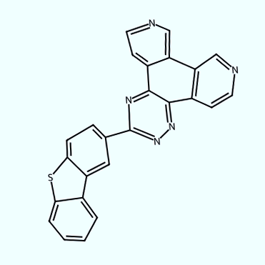 c1ccc2c(c1)sc1ccc(-c3nnc4c5ccncc5c5cnccc5c4n3)cc12